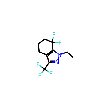 CCn1nc(C(F)(F)F)c2c1C(F)(F)CCC2